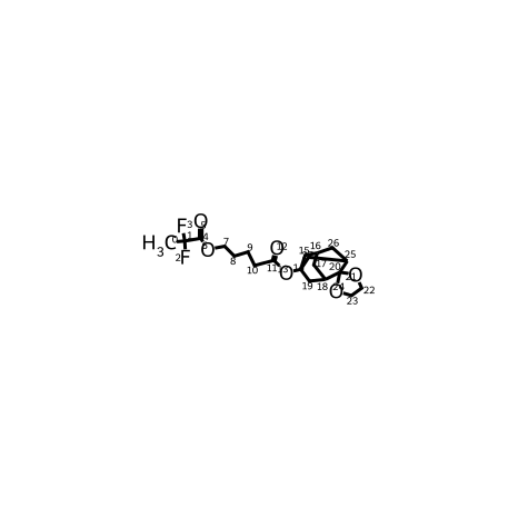 CC(F)(F)C(=O)OCCCCC(=O)OC12CC3CC(C1)C1(OCCO1)C(C3)C2